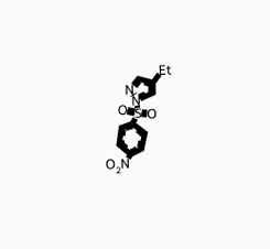 CCc1cnn(S(=O)(=O)c2ccc([N+](=O)[O-])cc2)c1